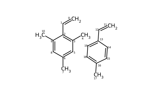 C=Cc1c(C)cc(C)cc1C.C=Cc1ccc(C)cc1